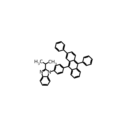 CC(C)c1nc2ccccc2n1-c1ccc(-c2c3ccccc3c(-c3ccccc3)c3ccc(-c4ccccc4)cc23)cc1